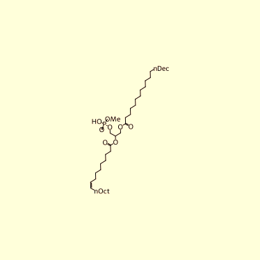 CCCCCCCC/C=C\CCCCCCCC(=O)OC(COC(=O)CCCCCCCCCCCCCCCCCCCCC)COP(=O)(O)OC